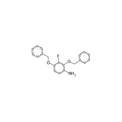 Nc1ccc(OCc2ccccc2)c(F)c1OCc1ccccc1